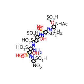 CC(=O)Nc1cc(C)c(N=Nc2cc(SOOO)c(N=Nc3c(S(=O)(=O)O)cc4c(S(=O)(=O)O)c(N=Nc5cc(S(=O)(=O)O)c6cc(SOOO)c(N=Nc7ccc([N+](=O)[O-])cc7S(=O)(=O)O)c(O)c6c5N)ccc4c3O)cc2S(=O)(=O)O)cc1OCCCS(=O)(=O)O